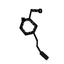 C#CCCc1ccnc(C=O)c1